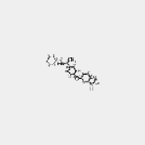 CC(NCC1CCCCC1)c1ccc(Oc2ccc3nc[nH]c3c2)cc1